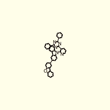 c1ccc(-c2nc(-c3ccccc3)nc(-c3cccnc3-n3c4ccccc4c4cc(-c5ccc6oc7ccccc7c6c5)ccc43)n2)cc1